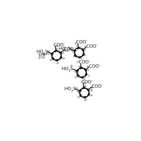 O=C([O-])c1cccc(S(=O)(=O)O)c1C(=O)[O-].O=C([O-])c1cccc(S(=O)(=O)O)c1C(=O)[O-].O=C([O-])c1cccc(S(=O)(=O)O)c1C(=O)[O-].O=C([O-])c1cccc(S(=O)(=O)O)c1C(=O)[O-].[Ti+4].[Ti+4]